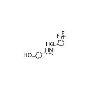 CC(CCc1ccc(CO)cc1)NCC(O)c1cccc(C(F)(F)F)c1